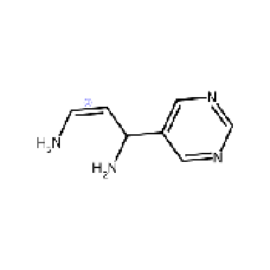 N/C=C\C(N)c1cncnc1